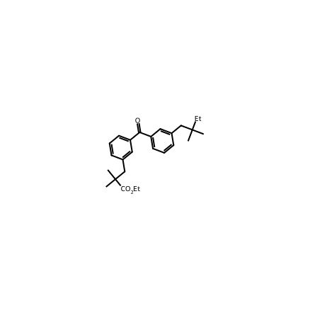 CCOC(=O)C(C)(C)Cc1cccc(C(=O)c2cccc(CC(C)(C)CC)c2)c1